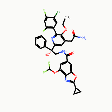 CCOc1c(CC(N)=O)cc([C@@](O)(CNC(=O)c2cc(OC(F)F)c3nc(C4CC4)oc3c2)c2ccccc2)nc1-c1cc(Cl)c(F)cc1F